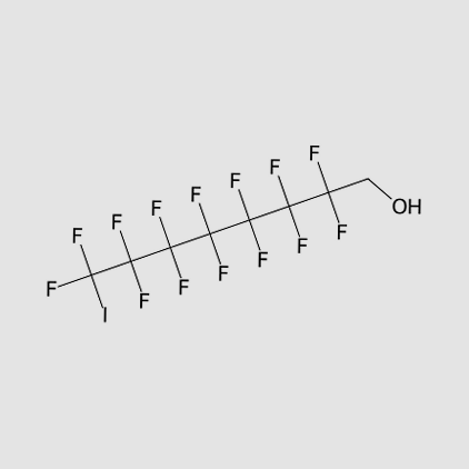 OCC(F)(F)C(F)(F)C(F)(F)C(F)(F)C(F)(F)C(F)(F)C(F)(F)I